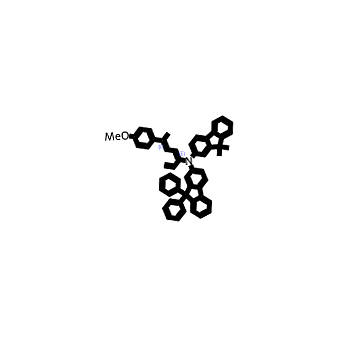 C=C/C(=C\C=C(/C)c1ccc(OC)cc1)N(c1ccc2c(c1)C(C)(C)c1ccccc1-2)c1ccc2c(c1)C(c1ccccc1)(c1ccccc1)c1ccccc1-2